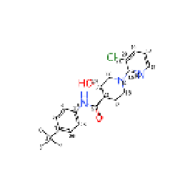 CC(C)(C)c1ccc(NC(=O)[C@@H]2CCN(c3ncccc3Cl)C[C@H]2O)cc1